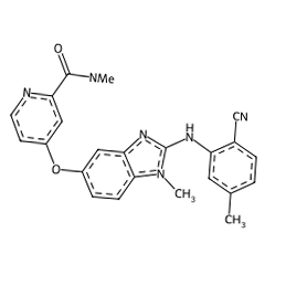 CNC(=O)c1cc(Oc2ccc3c(c2)nc(Nc2cc(C)ccc2C#N)n3C)ccn1